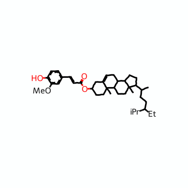 CCC(CCC(C)C1CCC2C3CC=C4CC(OC(=O)C=Cc5ccc(O)c(OC)c5)CCC4(C)C3CCC12C)C(C)C